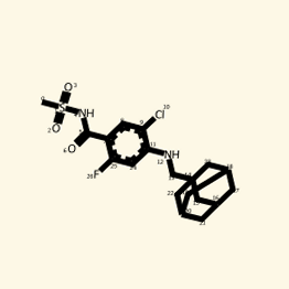 CS(=O)(=O)NC(=O)c1cc(Cl)c(NCC23CC4CC(CC(C4)C2)C3)cc1F